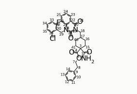 NC(=O)C1(C(=O)OCCc2ccccc2)CCC(Cn2c(=O)c3ccccc3n(Cc3c(F)cccc3Cl)c2=O)CC1